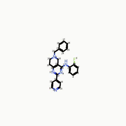 Fc1ccccc1Nc1nc(-c2ccncc2)nc2c1CN(Cc1ccccc1)CC2